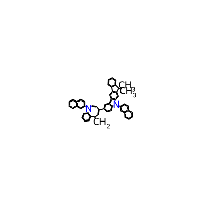 C=C1/C=C(c2ccc3c(c2)c2cc4c(cc2n3-c2ccc3ccccc3c2)C(C)(C)c2ccccc2-4)\C=C/N(c2ccc3ccccc3c2)c2ccccc21